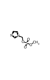 COS(=O)(=O)OCn1ccnc1